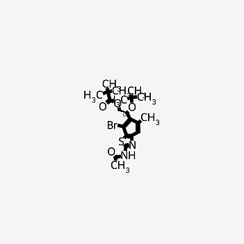 CC(=O)Nc1nc2cc(C)c([C@@H](COC(=O)C(C)(C)C)OC(C)(C)C)c(Br)c2s1